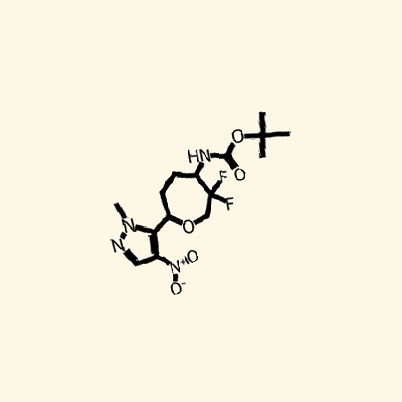 Cn1ncc([N+](=O)[O-])c1C1CCC(NC(=O)OC(C)(C)C)C(F)(F)CO1